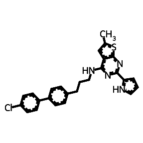 Cc1cc2c(NCCCc3ccc(-c4ccc(Cl)cc4)cc3)nc(-c3ccc[nH]3)nc2s1